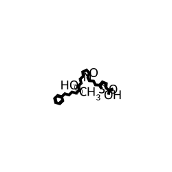 C[C@H](CCCCc1ccccc1)[C@H](O)CCC1CCC(=O)N1CCCc1ccc(C(=O)O)s1